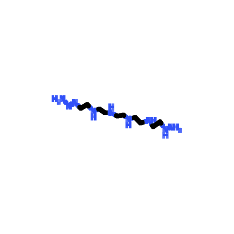 NN=NCCNCCNCCNCCNCCNN